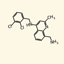 Cc1cc(NCc2cccc(Cl)c2Cl)c2cccc(CN)c2n1